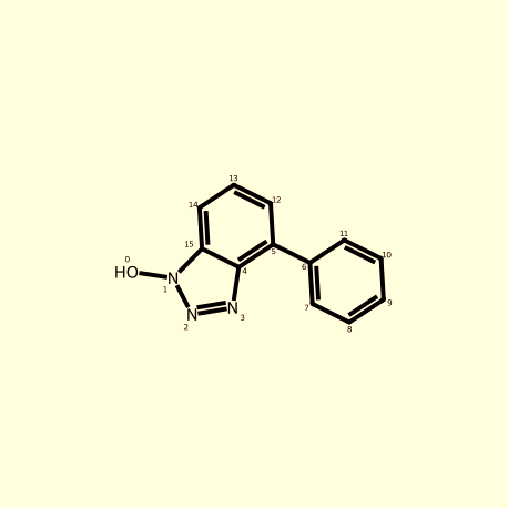 On1nnc2c(-c3ccccc3)cccc21